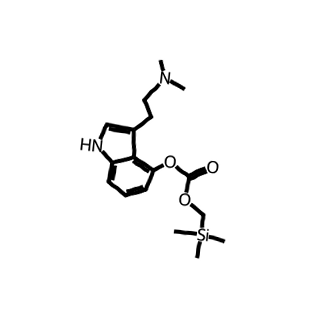 CN(C)CCc1c[nH]c2cccc(OC(=O)OC[Si](C)(C)C)c12